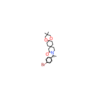 C[C@@H](c1ccc(Br)cc1)N1CCC2(CCC3(CC2)OCC(C)(C)CO3)CC1=O